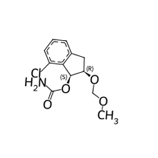 COCO[C@@H]1Cc2cccc(Cl)c2[C@@H]1OC(N)=O